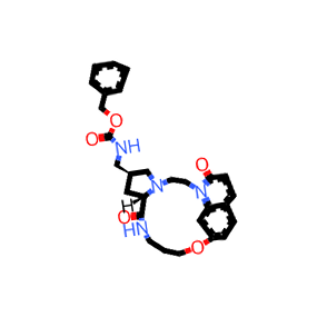 O=C(NC[C@@H]1C[C@H]2C(=O)NCCCOc3ccc4ccc(=O)n(c4c3)CCN2C1)OCc1ccccc1